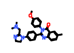 COc1ccc(-n2c(-c3ccc(N4CCN=C4CN(C)C)cc3)nc3ccc(C)cc3c2=O)cc1